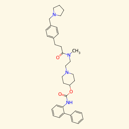 CN(CCN1CCC(OC(=O)Nc2ccccc2-c2ccccc2)CC1)C(=O)CCc1ccc(CN2CCCC2)cc1